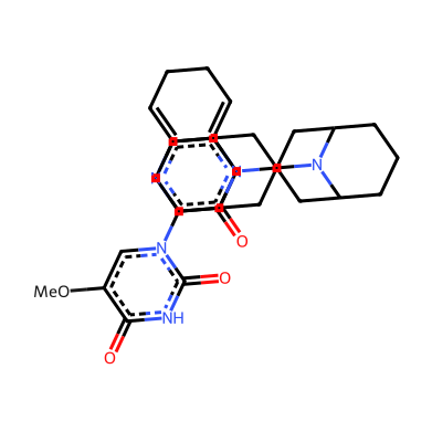 COc1cn(-c2nc3c(n(C4CC5CCCC(C4)N5C4CC5CCCC(C5)C4)c2=O)=CCCC=3)c(=O)[nH]c1=O